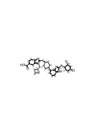 O=C(O)c1ccc2nc(CN3CCC(c4cccc5[nH]c(Cc6ccc(Cl)cc6F)nc45)CC3)n(C[C@@H]3CCO3)c2c1